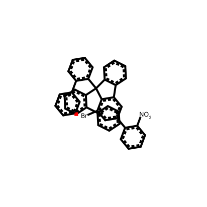 O=[N+]([O-])c1ccccc1-c1cc(Br)c2c(c1)-c1ccccc1C2(c1ccccc1-c1ccccc1)c1ccccc1-c1ccccc1